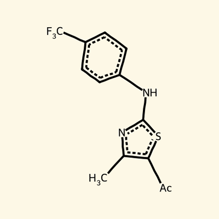 CC(=O)c1sc(Nc2ccc(C(F)(F)F)cc2)nc1C